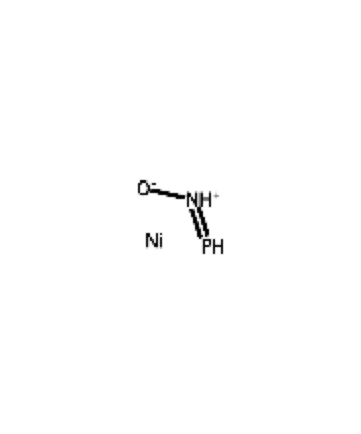 [Ni].[O-][NH+]=P